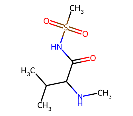 CNC(C(=O)NS(C)(=O)=O)C(C)C